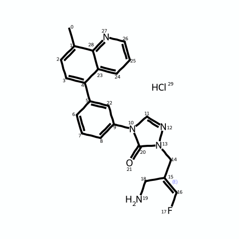 Cc1ccc(-c2cccc(-n3cnn(C/C(=C/F)CN)c3=O)c2)c2cccnc12.Cl